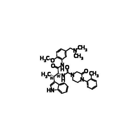 COc1ccc(CN(C)C)cc1NC(=O)[C@H](NC(=O)N1CCN(c2ccccc2C)C(=O)C1)[C@@H](C)c1c[nH]c2ccccc12